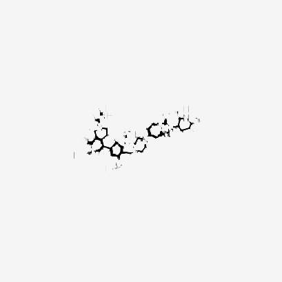 CNC(=O)N1CCc2c(-c3cc(OC)c(CN4CCN(c5ccn6c(=O)n(C7CCC(=O)NC7=O)nc6c5)CC4)c(OC)c3)cn(C)c(=O)c2C1